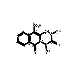 CCCN(C(=O)OC(C)(C)C)n1c(C)c(C(=O)O)c2cnccc2c1=O